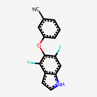 N#Cc1cccc(Oc2c(F)cc3[nH]ccc3c2F)c1